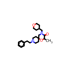 CC1OC2(CCN(CCc3ccccc3)CC2)CN(CC2CCOCC2)C1=O